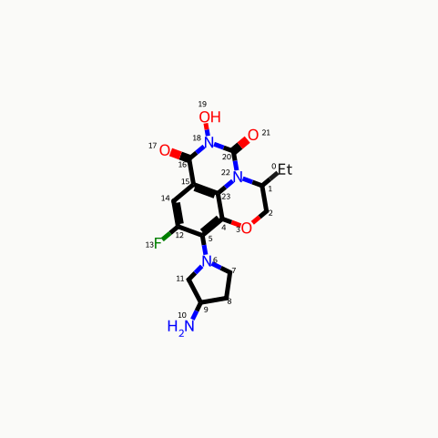 CCC1COc2c(N3CCC(N)C3)c(F)cc3c(=O)n(O)c(=O)n1c23